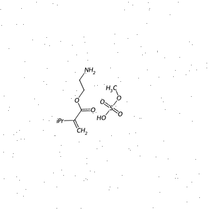 C=C(C(=O)OCCN)C(C)C.COS(=O)(=O)O